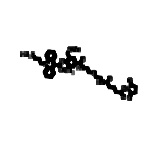 COCc1cc(C(=O)NCCOCCNC(=O)CCCC(=O)ON2C(=O)CCC2=O)cc(C)c1OC(=O)c1c2ccccc2[n+](CCCS(=O)(=O)O)c2ccccc12